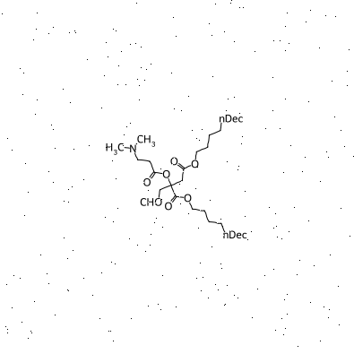 CCCCCCCCCCCCCCOC(=O)CC(CC=O)(OC(=O)CCN(C)C)C(=O)OCCCCCCCCCCCCCC